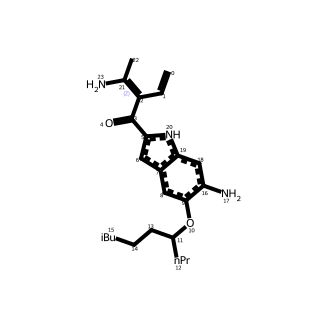 C=C/C(C(=O)c1cc2cc(OC(CCC)CCC(C)CC)c(N)cc2[nH]1)=C(\C)N